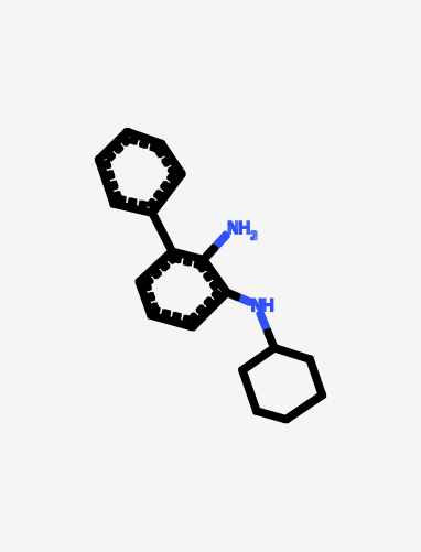 Nc1c(NC2CCCCC2)cccc1-c1ccccc1